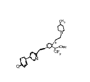 CC1CCN(CCOc2ccc(C#Cc3ccc(-c4ccc(Cl)cc4)cn3)cc2C(O)C(F)(F)F)CC1